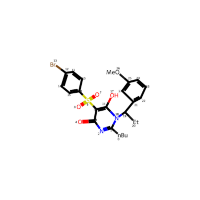 CCCCc1nc(=O)c(S(=O)(=O)c2ccc(Br)cc2)c(O)n1C(CC)c1cccc(OC)c1